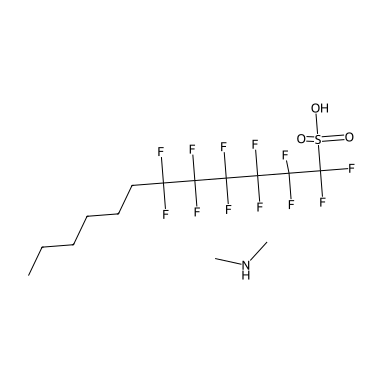 CCCCCCC(F)(F)C(F)(F)C(F)(F)C(F)(F)C(F)(F)C(F)(F)S(=O)(=O)O.CNC